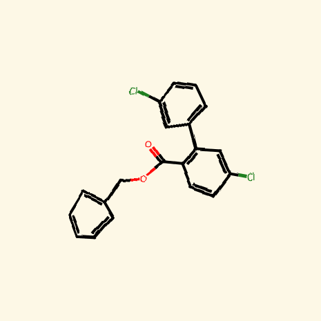 O=C(OCc1ccccc1)c1ccc(Cl)cc1-c1cccc(Cl)c1